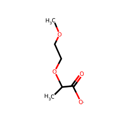 COCCOC(C)C([O])=O